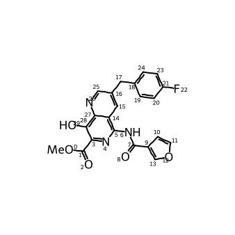 COC(=O)c1nc(NC(=O)c2ccoc2)c2cc(Cc3ccc(F)cc3)cnc2c1O